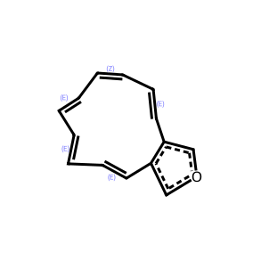 C1=C\C=C\c2cocc2/C=C/C=C/C=C/1